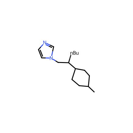 CCCCC(Cn1ccnc1)C1CCC(C)CC1